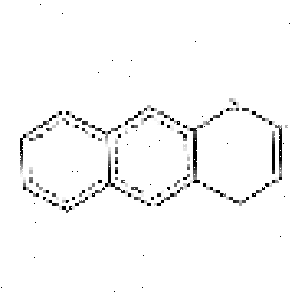 [C]1=CCc2cc3ccccc3cc2S1